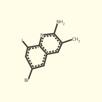 Cc1cc2cc(Br)cc(I)c2nc1N